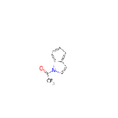 O=C(n1ccc2c[c]ccc21)C(F)(F)F